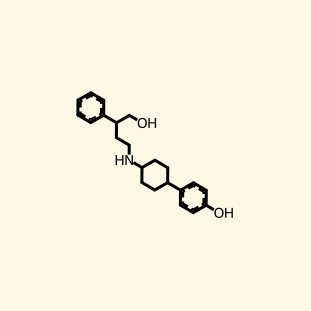 OCC(CCNC1CCC(c2ccc(O)cc2)CC1)c1ccccc1